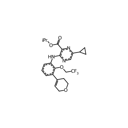 CC(C)OC(=O)c1nc(C2CC2)cnc1Nc1cccc(C2=CCOCC2)c1OCC(F)(F)F